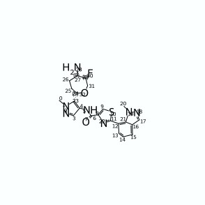 Cn1ncc(NC(=O)c2csc(-c3cccc4cnn(C)c34)n2)c1[C@@H]1CC[C@@H](N)[C@H](F)CO1